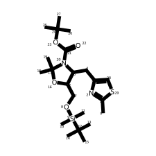 Cc1nc(CC2C(CO[Si](C)(C)C(C)(C)C)OC(C)(C)N2C(=O)OC(C)(C)C)cs1